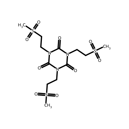 CS(=O)(=O)CCn1c(=O)n(CCS(C)(=O)=O)c(=O)n(CCS(C)(=O)=O)c1=O